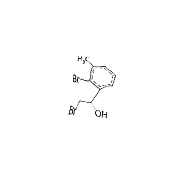 Cc1cccc([C@H](O)CBr)c1Br